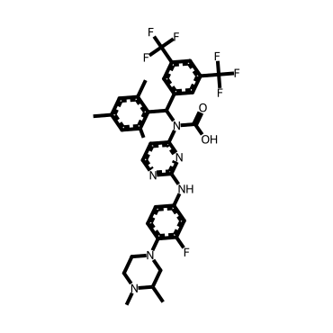 Cc1cc(C)c(C(c2cc(C(F)(F)F)cc(C(F)(F)F)c2)N(C(=O)O)c2ccnc(Nc3ccc(N4CCN(C)C(C)C4)c(F)c3)n2)c(C)c1